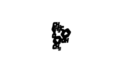 C=CCOc1cccc(C)c1.Cc1cccc(O)c1